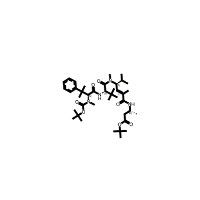 C/C(=C\[C@H](C(C)C)N(C)C(=O)[C@@H](NC(=O)[C@@H](N(C)C(=O)OC(C)(C)C)C(C)(C)c1ccccc1)C(C)(C)C)C(=O)N[C@H](C)CC(=O)OC(C)(C)C